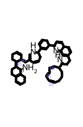 N[C@@H]1C2=C(C=CCC2)CC/C1=C1\CCC=C\C1=C/C1=CNC(C2=CC(C3=N[C@@H]4C5=C(C=CC4C=C3)CCC(C3\C=C/C=C/C=C\CCC3)=N5)CC=C2)CC=C1